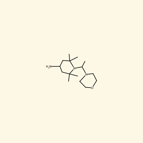 CC(N1CCOCC1)N1C(C)(C)CC(N)CC1(C)C